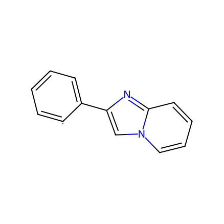 [c]1ccccc1-c1cn2ccccc2n1